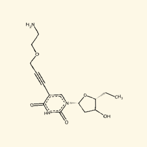 CC[C@H]1O[C@@H](n2cc(C#CCOCCN)c(=O)[nH]c2=O)CC1O